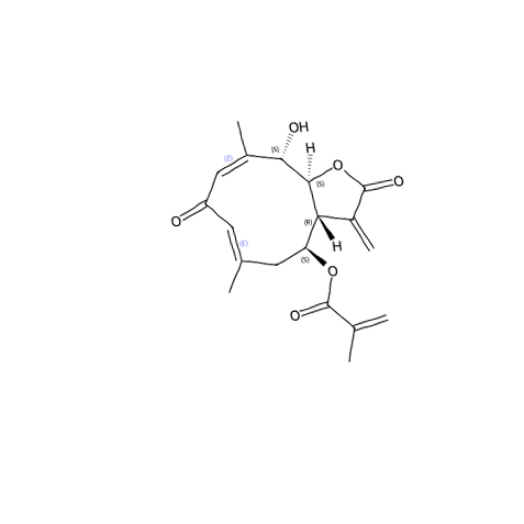 C=C(C)C(=O)O[C@H]1C/C(C)=C/C(=O)/C=C(/C)[C@H](O)[C@H]2OC(=O)C(=C)[C@@H]21